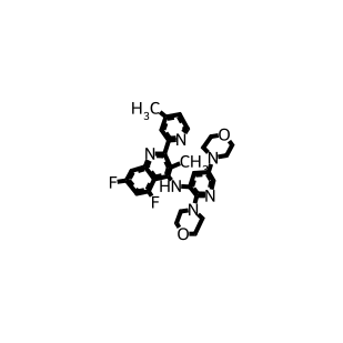 Cc1ccnc(-c2nc3cc(F)cc(F)c3c(Nc3cc(N4CCOCC4)cnc3N3CCOCC3)c2C)c1